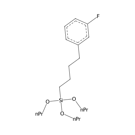 CCCO[Si](CCCCc1cccc(F)c1)(OCCC)OCCC